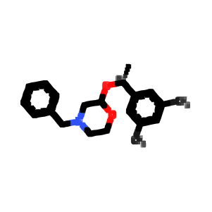 C[C@@H](OC1CN(Cc2ccccc2)CCO1)c1cc(C(F)(F)F)cc(C(F)(F)F)c1